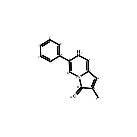 Cc1cc2c[nH]c(-c3ccccc3)cn-2c1=O